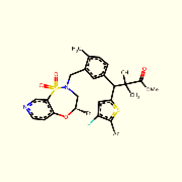 CC[C@@H]1CN(Cc2cc(C(c3cc(F)c(C(C)=O)s3)C(C)(C)C(=O)OC)ccc2C)S(=O)(=O)c2cnccc2O1